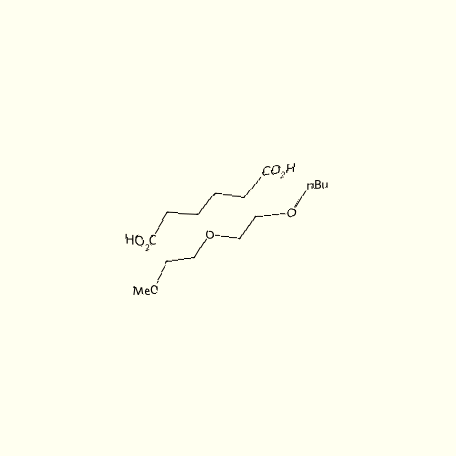 CCCCOCCOCCOC.O=C(O)CCCCC(=O)O